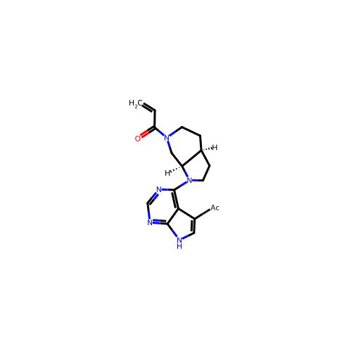 C=CC(=O)N1CC[C@H]2CCN(c3ncnc4[nH]cc(C(C)=O)c34)[C@H]2C1